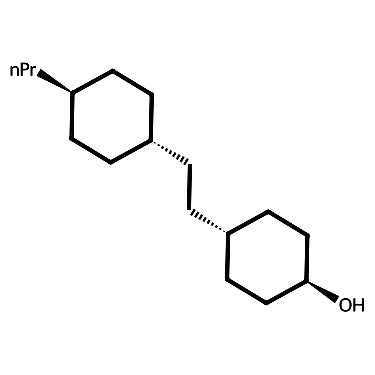 CCC[C@H]1CC[C@H](CC[C@H]2CC[C@H](O)CC2)CC1